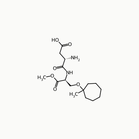 COC(=O)[C@H](COC1(C)CCCCCC1)NC(=O)[C@@H](N)CC(=O)O